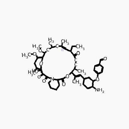 CCC1/C=C(\C)CC(C)CC(OC)C2OC(O)(C(=O)C(=O)N3CCCCC3C(=O)OC(C(C)=CC3CCC(N)C(Oc4ccc(C=O)cc4)C3)C(C)CCC1=O)C(C)CC2OC